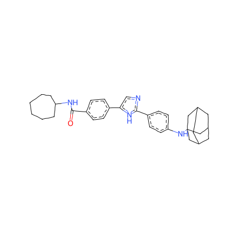 O=C(NC1CCCCCC1)c1ccc(-c2cnc(-c3ccc(NC45CC6CC(CC(C6)C4)C5)cc3)[nH]2)cc1